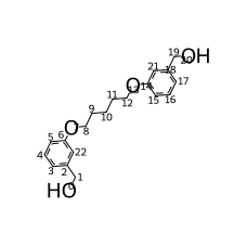 OCc1cccc(OCCCCCOc2cccc(CO)c2)c1